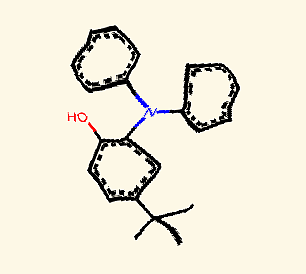 CC(C)(C)c1ccc(O)c(N(c2ccccc2)c2ccccc2)c1